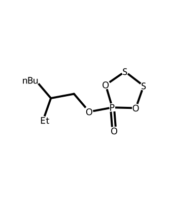 CCCCC(CC)COP1(=O)OSSO1